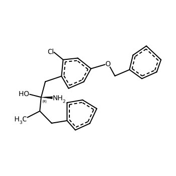 CC(Cc1ccccc1)[C@](N)(O)Cc1ccc(OCc2ccccc2)cc1Cl